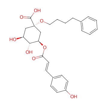 O=C(C=Cc1ccc(O)cc1)O[C@@H]1C[C@](OCCCCc2ccccc2)(C(=O)O)C[C@H](O)[C@H]1O